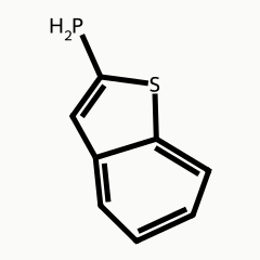 Pc1cc2ccccc2s1